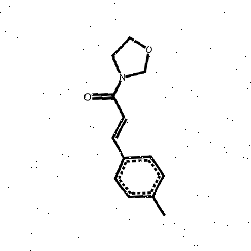 Cc1ccc(/C=C/C(=O)N2CCOC2)cc1